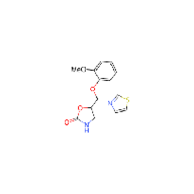 COc1ccccc1OCC1CNC(=O)O1.c1cscn1